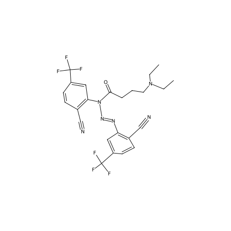 CCN(CC)CCCC(=O)N(N=Nc1cc(C(F)(F)F)ccc1C#N)c1cc(C(F)(F)F)ccc1C#N